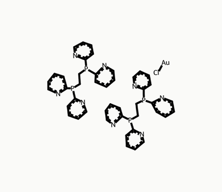 [Cl][Au].c1ccc(P(CCP(c2ccccn2)c2ccccn2)c2ccccn2)nc1.c1ccc(P(CCP(c2ccccn2)c2ccccn2)c2ccccn2)nc1